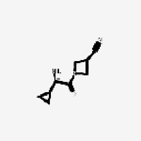 N#CC1CN(C(=O)[C@H](N)C2CC2)C1